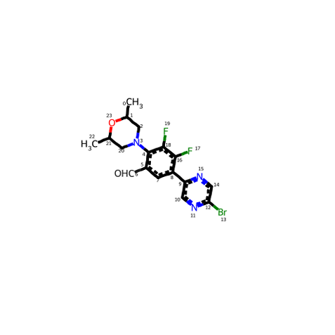 CC1CN(c2c(C=O)cc(-c3cnc(Br)cn3)c(F)c2F)CC(C)O1